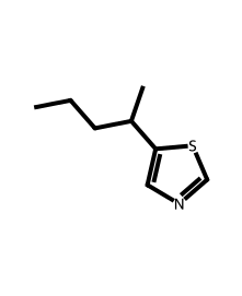 CCCC(C)c1cncs1